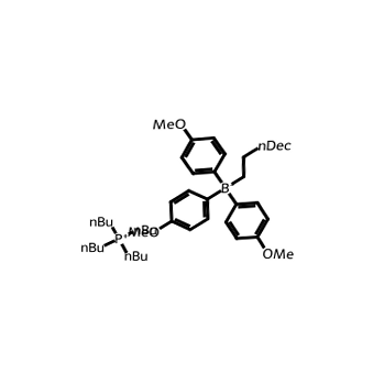 CCCCCCCCCCCC[B-](c1ccc(OC)cc1)(c1ccc(OC)cc1)c1ccc(OC)cc1.CCCC[P+](CCCC)(CCCC)CCCC